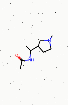 [CH2]C(=O)NC(C)C1CCN(C)C1